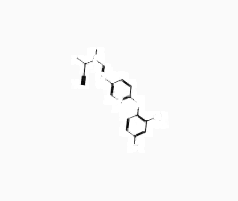 C#CC(C)N(C)/C=N/c1ccc(Oc2ccc(Cl)cc2Cl)nc1